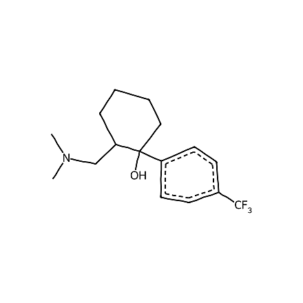 CN(C)CC1CCCCC1(O)c1ccc(C(F)(F)F)cc1